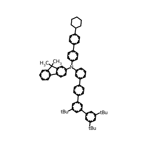 CC(C)(C)c1cc(-c2ccc(-c3cccc(N(c4ccc(-c5ccc(C6CCCCC6)cc5)cc4)c4ccc5c(c4)C(C)(C)c4ccccc4-5)c3)cc2)cc(-c2cc(C(C)(C)C)cc(C(C)(C)C)c2)c1